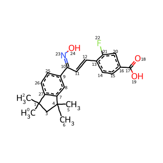 CC1(C)CC(C)(C)c2cc(C(/C=C/c3ccc(C(=O)O)cc3F)=NO)ccc21